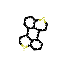 c1cc2sccc3c4cccc5sccc(c(c1)c23)c54